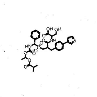 CC(OC(=O)NC(c1ccccc1)P(=O)(O)CC(Cc1ccc(-c2ccsc2)cc1)C(=O)NC(CO)C(=O)O)OC(=O)C(C)C